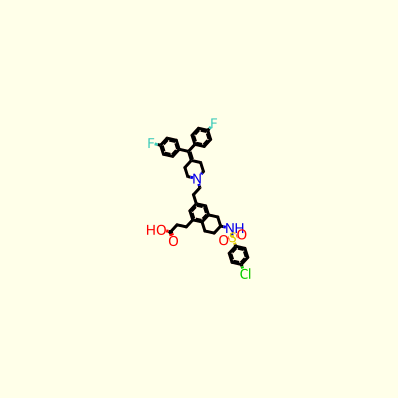 O=C(O)CCc1cc(CCN2CCC(=C(c3ccc(F)cc3)c3ccc(F)cc3)CC2)cc2c1CCC(NS(=O)(=O)c1ccc(Cl)cc1)C2